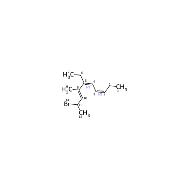 CC/C=C\C=C(\CC)C(C)=CC(C)Br